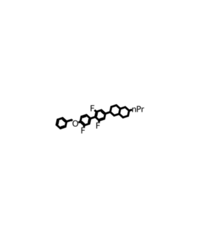 CCCC1CCC2CC(c3cc(F)c(-c4ccc(OCc5ccccc5)c(F)c4)c(F)c3)CCC2C1